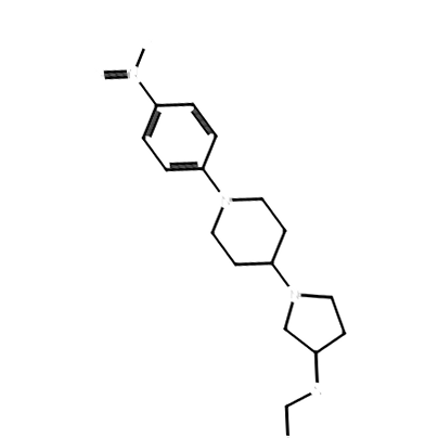 CCNC1CCN(C2CCN(c3ccc([N+](=O)[O-])cc3)CC2)C1